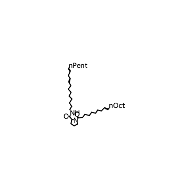 CCCCCC=CCC=CCCCCCCCCNC(=O)C1CCCN1C(=O)CCCCCCCC=CCCCCCCCC